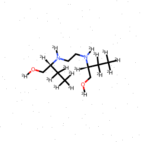 [2H]OC[C@]([2H])(N([2H])CCN([2H])[C@@]([2H])(CO[2H])C([2H])([2H])C([2H])([2H])[2H])C([2H])([2H])C([2H])([2H])[2H]